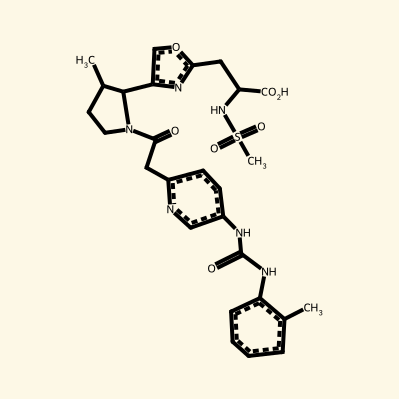 Cc1ccccc1NC(=O)Nc1ccc(CC(=O)N2CCC(C)C2c2coc(CC(NS(C)(=O)=O)C(=O)O)n2)nc1